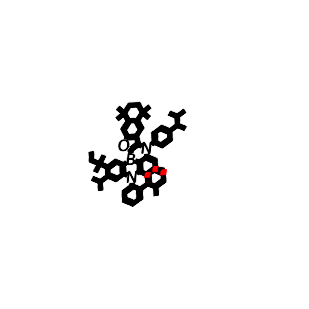 CCC(C)(C)c1cc2c(cc1C(C)C)N(c1ccccc1-c1ccccc1C)c1cc(C)cc3c1B2c1oc2cc4c(cc2c1N3c1ccc(C(C)C(C)C)cc1)C(C)(C)CCC4(C)C